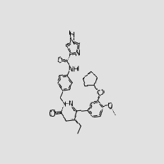 CCC1CC(=O)N(Cc2ccc(NC(=O)c3c[nH]cn3)cc2)N=C1c1ccc(OC)c(OC2CCCC2)c1